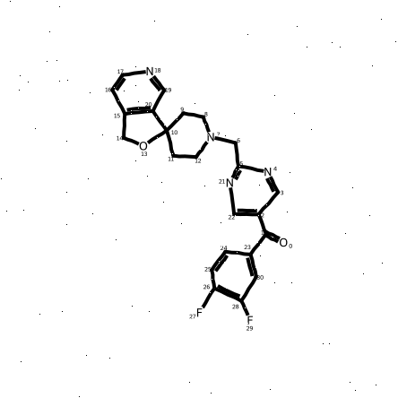 O=C(c1cnc(CN2CCC3(CC2)OCc2ccncc23)nc1)c1ccc(F)c(F)c1